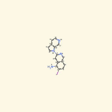 Nc1c(I)ccc2cnc(-n3ccc4ccncc43)cc12